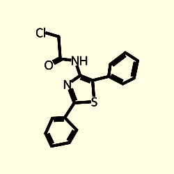 O=C(CCl)Nc1nc(-c2ccccc2)sc1-c1ccccc1